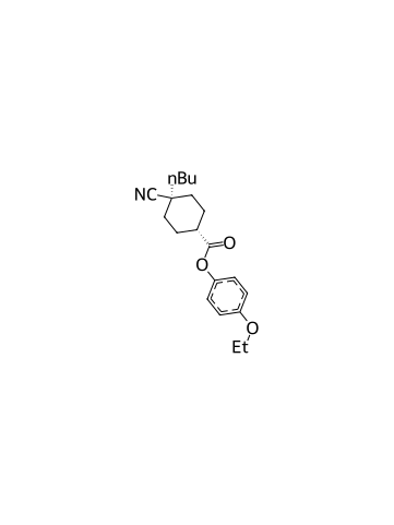 CCCC[C@]1(C#N)CC[C@H](C(=O)Oc2ccc(OCC)cc2)CC1